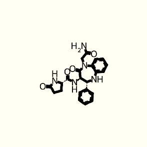 NC(=O)CN1C(=O)[C@H](NC(=O)[C@@H]2CCC(=O)N2)[C@@H](c2ccccc2)Nc2ccccc21